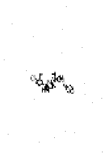 Fc1cc(-n2nnc3cnc(Nc4cnn(CCN5CCOCC5)c4)nc32)ccc1Cl